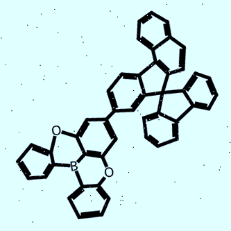 c1ccc2c(c1)Oc1cc(-c3ccc4c(c3)C3(c5ccccc5-c5ccccc53)c3ccc5ccccc5c3-4)cc3c1B2c1ccccc1O3